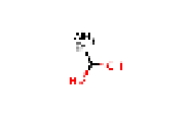 CCC(O)O.[AlH3]